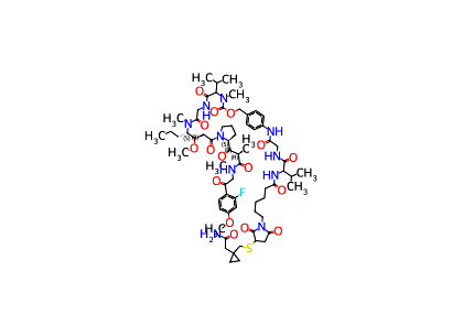 CCC[C@@H]([C@@H](CC(=O)N1CCC[C@H]1[C@H](OC)[C@@H](C)C(=O)NCC(=O)c1ccc(OC)cc1F)OC)N(C)C(=O)CNC(=O)C(C(C)C)N(C)C(=O)OCc1ccc(NC(=O)CNC(=O)C(NC(=O)CCCCCN2C(=O)CC(SCC3(CC(N)=O)CC3)C2=O)C(C)C)cc1